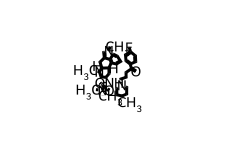 CC1CCN(CCCC(=O)c2ccc(F)cc2)CC1.CN1C[C@@H](NS(=O)(=O)N(C)C)C[C@@H]2c3cccc4c3c(cn4C)C[C@H]21